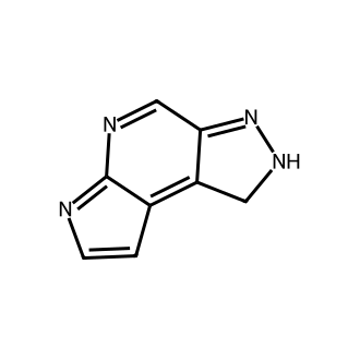 C1=Cc2c3c(cnc2=N1)=NNC3